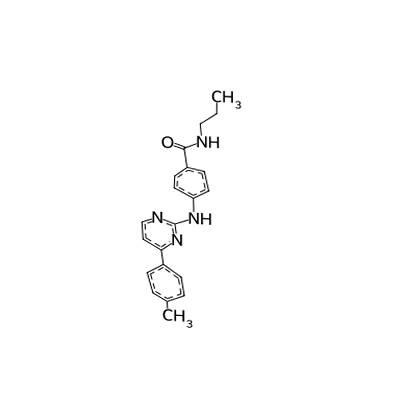 CCCNC(=O)c1ccc(Nc2nccc(-c3ccc(C)cc3)n2)cc1